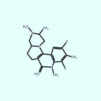 C=C1C2=C(c3cc(F)c(C)c(F)c3N1C)N1CC(C)N(C)CC1CC2